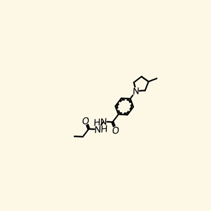 CCC(=O)NNC(=O)c1ccc(N2CCC(C)C2)cc1